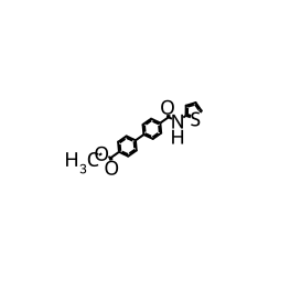 COC(=O)c1ccc(-c2ccc(C(=O)Nc3cccs3)cc2)cc1